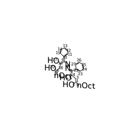 CCCCCCCCC(O)CC(O)C(=NN=C(c1ccccc1)C(O)CC(O)CCCCCCCC)c1ccccc1